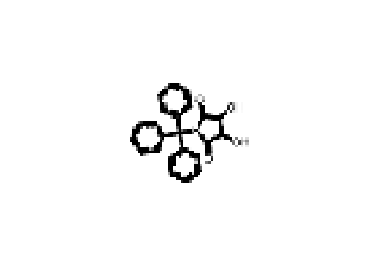 O=C1B(C(c2ccccc2)(c2ccccc2)c2ccccc2)C(=O)C(O)C1O